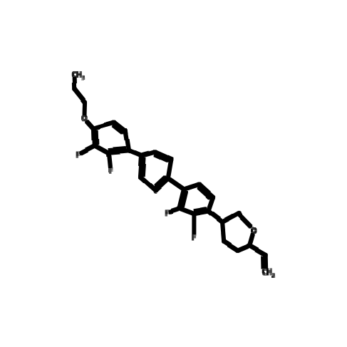 C=CC1CCC(c2ccc(-c3ccc(-c4ccc(OCCC)c(F)c4F)cc3)c(F)c2F)CO1